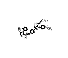 COCCNc1nc(-c2ccc(/C=N/NC3SCC(=O)N3c3ccccc3C(C)C)cc2)nn1-c1ccc(OC(F)(F)F)cc1